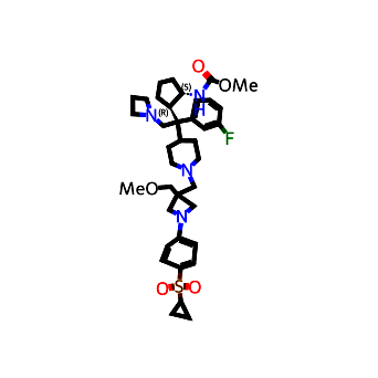 COCC1(CN2CCC(C(CN3CCC3)(c3cccc(F)c3)[C@H]3CCC[C@@H]3NC(=O)OC)CC2)CN(c2ccc(S(=O)(=O)C3CC3)cc2)C1